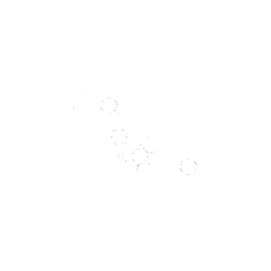 Cc1cc(Oc2ncccc2OC(F)F)ccc1-c1c(C)c(=O)n(COCc2ccccc2)c(=O)n1C